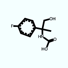 CC(CO)(NC(=O)O)c1ccc(F)cc1